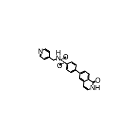 O=c1[nH]ccc2cc(-c3ccc(S(=O)(=O)NCc4ccncc4)cc3)ccc12